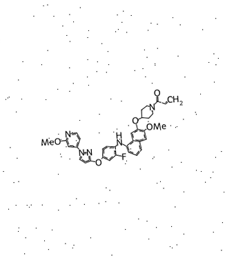 C=CC(=O)N1CCC(Oc2cc3c(Nc4ccc(Oc5ccn(-c6ccnc(OC)c6)n5)cc4F)cccc3cc2OC)CC1